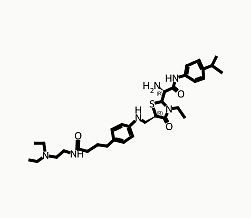 CCN(CC)CCNC(=O)CCCc1ccc(NC[C@H]2SC([C@H](N)C(=O)Nc3ccc(C(C)C)cc3)N(CC)C2=O)cc1